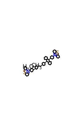 CC1(C)c2cc(/C=C/c3ccc(-c4c5ccccc5c(-c5ccc(N6c7ccccc7Sc7ccccc76)cc5)c5ccccc45)cc3)ccc2-c2ccc(N3c4ccccc4Sc4ccccc43)cc21